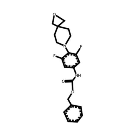 O=C(Nc1cc(F)c(N2CCC3(CC2)COC3)c(F)c1)OCc1ccccc1